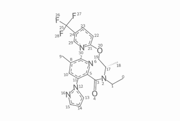 CCN(C(=O)c1ncc(C)cc1-n1cccn1)[C@@H](C)COc1ccc(C(F)(F)F)cn1